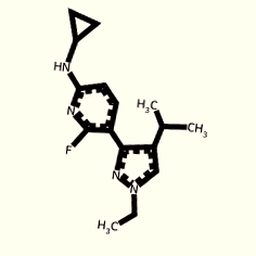 CCn1cc(C(C)C)c(-c2ccc(NC3CC3)nc2F)n1